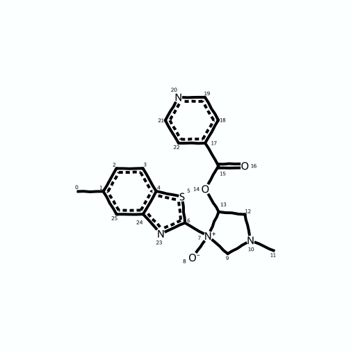 Cc1ccc2sc([N+]3([O-])CN(C)CC3OC(=O)c3ccncc3)nc2c1